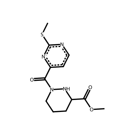 COC(=O)C1CCCN(C(=O)c2ccnc(SC)n2)N1